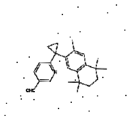 Cc1cc2c(cc1C1(c3ccc(C=O)cn3)CC1)C(C)(C)CCC2(C)C